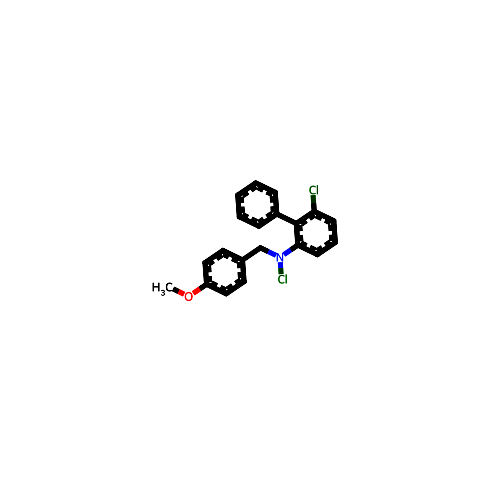 COc1ccc(CN(Cl)c2cccc(Cl)c2-c2ccccc2)cc1